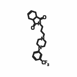 O=C1C2CC=CCC2C(=O)N1CCCN1CCN(c2cccc(C(F)(F)F)c2)CC1